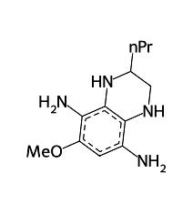 CCCC1CNc2c(N)cc(OC)c(N)c2N1